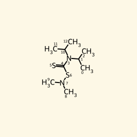 CC(C)N(C(=S)SN(C)C)C(C)C